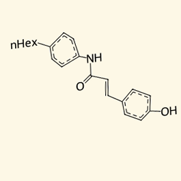 CCCCCCc1ccc(NC(=O)C=Cc2ccc(O)cc2)cc1